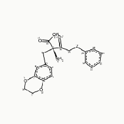 N[C@@](Cc1ccc2c(c1)OCCO2)(C(=O)O)C(=O)CCc1ccccc1